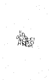 O=C1NC(=O)C(S(=O)(=O)C(Cl)Cl)C(=O)N1.[NaH]